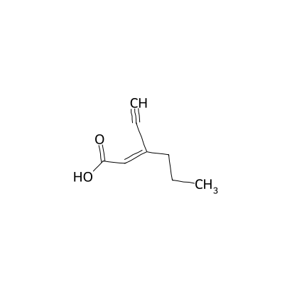 C#CC(=CC(=O)O)CCC